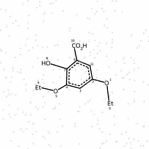 CCOc1cc(OCC)c(O)c(C(=O)O)c1